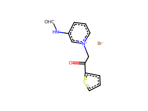 O=CNc1ccc[n+](CC(=O)c2cccs2)c1.[Br-]